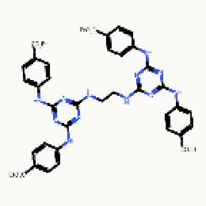 CCOC(=O)c1ccc(Nc2nc(NCCNc3nc(Nc4ccc(C(=O)OCC)cc4)nc(Nc4ccc(C(=O)OCC)cc4)n3)nc(Nc3ccc(C(=O)OCC)cc3)n2)cc1